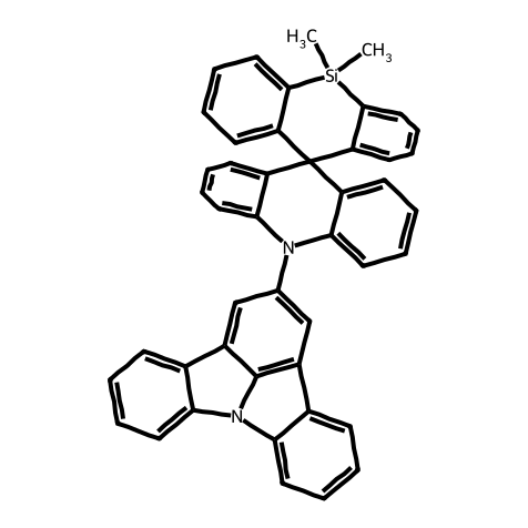 C[Si]1(C)c2ccccc2C2(c3ccccc3N(c3cc4c5ccccc5n5c6ccccc6c(c3)c45)c3ccccc32)c2ccccc21